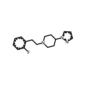 Fc1ccccc1CCN1CCC(n2cccn2)CC1